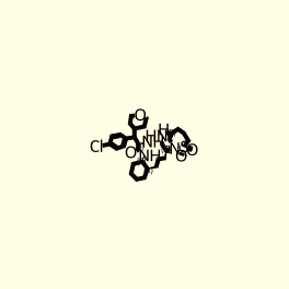 N[C@H](C(=O)N[C@H]1CCCC[C@@H]1CCC[C@H]1CN[C@@H]2CCCS(=O)(=O)N1C2)C(c1ccc(Cl)cc1)C1CCOCC1